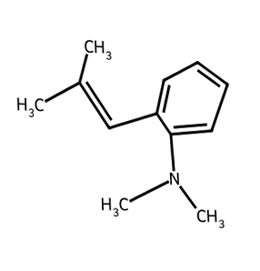 CC(C)=Cc1ccccc1N(C)C